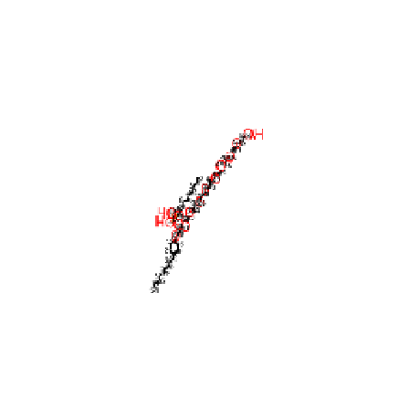 CCCCCCCCCOP(=O)(O)O.CCCCCCCCCc1ccc(OCCOCCOCCOCCOCCOCCOCCOCCOCCO)cc1